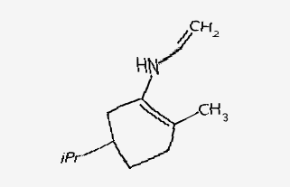 C=CNC1=C(C)CCC(C(C)C)C1